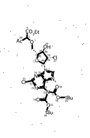 CCOC(=O)C(OC[C@H]1O[C@@H](n2cnc3c(N(C(=O)OC(C)(C)C)C(=O)OC(C)(C)C)nc(Cl)nc32)[C@@H](Cl)[C@@H]1O)C(C)=O